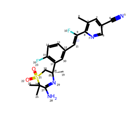 Cc1cc(C#N)cnc1/C(F)=C/c1ccc(F)c([C@]2(C)CS(=O)(=O)C(C)(C)C(N)=N2)c1